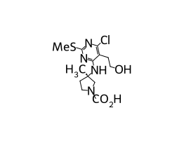 CSc1nc(Cl)c(CCO)c(N[C@@]2(C)CCN(C(=O)O)C2)n1